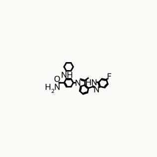 Cc1cn(C2C=C(NC3CCCCC3)C(C(N)=O)=CC2)c2cccc(-c3nc4ccc(F)cc4[nH]3)c12